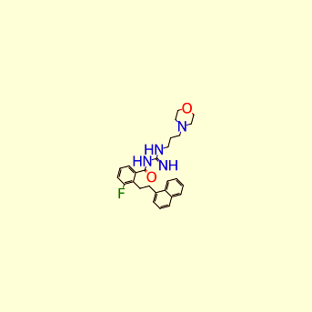 N=C(NCCCN1CCOCC1)NC(=O)c1cccc(F)c1CCc1cccc2ccccc12